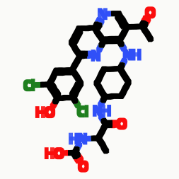 CC(=O)c1cnc2ccc(-c3cc(Cl)c(O)c(Cl)c3)nc2c1NC1CCC(NC(=O)C(C)NC(=O)O)CC1